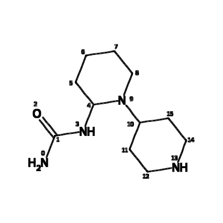 NC(=O)NC1CCCCN1C1CCNCC1